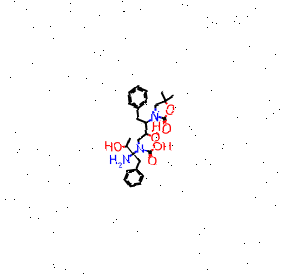 CC(O)C(N)(Cc1ccccc1)N(CC(O)C(Cc1ccccc1)N1CC(C)(C)OC1=O)C(=O)O